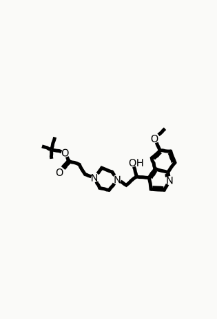 COc1ccc2nccc(C(O)CN3CCN(CCC(=O)OC(C)(C)C)CC3)c2c1